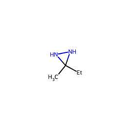 CCC1(C)NN1